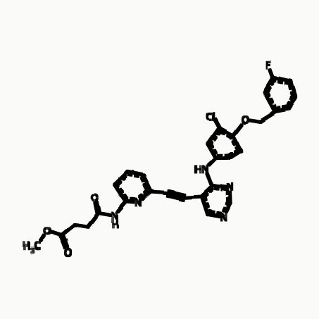 COC(=O)CCC(=O)Nc1cccc(C#Cc2cncnc2Nc2ccc(OCc3cccc(F)c3)c(Cl)c2)n1